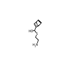 NCCSC(O)C1CC2C=CC1O2